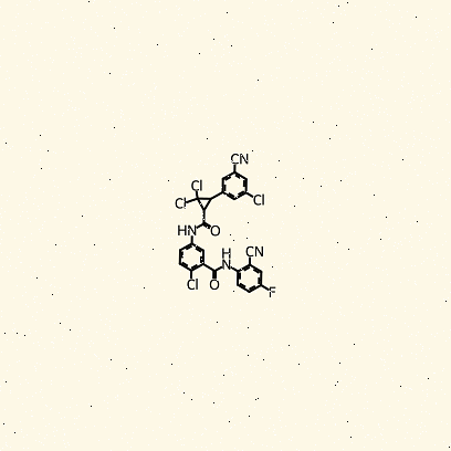 N#Cc1cc(Cl)cc(C2C(C(=O)Nc3ccc(Cl)c(C(=O)Nc4ccc(F)cc4C#N)c3)C2(Cl)Cl)c1